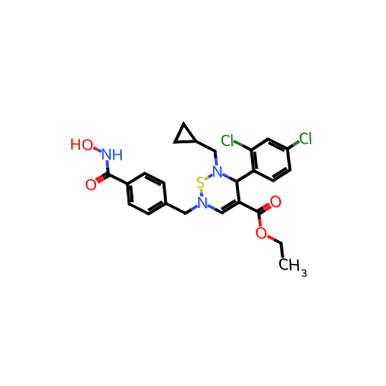 CCOC(=O)C1=CN(Cc2ccc(C(=O)NO)cc2)SN(CC2CC2)C1c1ccc(Cl)cc1Cl